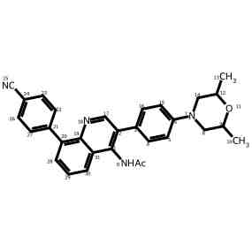 CC(=O)Nc1c(-c2ccc(N3CC(C)OC(C)C3)cc2)cnc2c(-c3ccc(C#N)cc3)cccc12